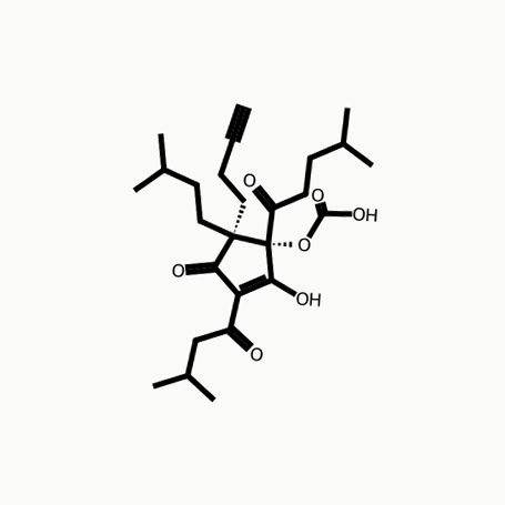 C#CCC[C@@]1(CCC(C)C)C(=O)C(C(=O)CC(C)C)=C(O)[C@]1(OC(=O)O)C(=O)CCC(C)C